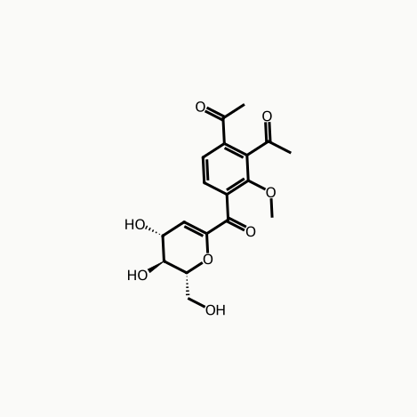 COc1c(C(=O)C2=C[C@@H](O)[C@H](O)[C@@H](CO)O2)ccc(C(C)=O)c1C(C)=O